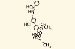 CCCCCS(=O)(=O)NC(=O)c1ccc(-c2ccc(CCNC[C@@H](O)c3ccccc3)cc2)cc1OC(C)C.Cl